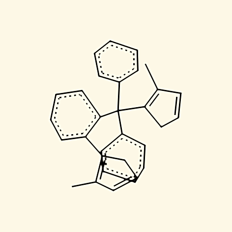 CC1=C(c2ccccc2C(C2=C(C)C=CC2)(c2ccccc2)c2ccccc2)CC=C1